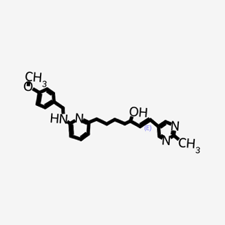 COc1ccc(CNc2cccc(CCCCC(O)/C=C/c3cnc(C)nc3)n2)cc1